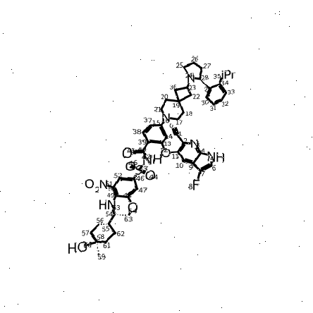 C#Cc1nc2[nH]cc(F)c2cc1Oc1cc(N2CCC3(CC2)CC(N2CCC[C@H]2c2ccccc2C(C)C)C3)ccc1C(=O)NS(=O)(=O)c1cc2c(c([N+](=O)[O-])c1)N[C@@H]([C@H]1CC[C@](C)(O)CC1)CO2